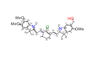 COc1cc2c(cc1CO)[N+](C)=C(/C=C/C1=C(Cl)C(=C/C=C3\N(C)c4cc(OC)c(OC)cc4C3(C)C)/CCC1)C2(C)C